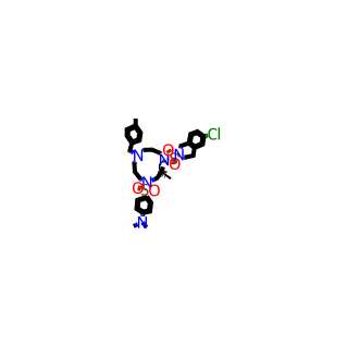 Cc1ccc(CN2CCCN(S(=O)(=O)c3ccc(N(C)C)cc3)C[C@H](C)CN(S(=O)(=O)N3CCc4cc(Cl)ccc4C3)CCC2)cc1